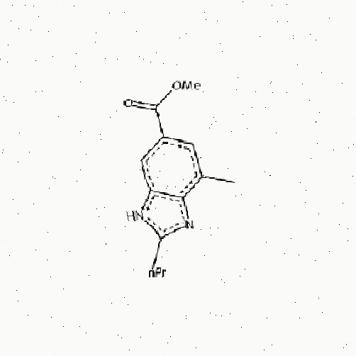 CCCc1nc2c(C)cc(C(=O)OC)cc2[nH]1